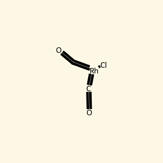 O=[C]=[Rh]([Cl])=[C]=O